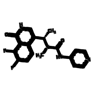 C[C@@H](c1c[nH]c(=O)c2c(F)c(F)ccc12)N(C)C(=O)Nc1ccncc1